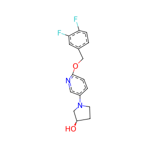 O[C@@H]1CCN(c2ccc(OCc3ccc(F)c(F)c3)nc2)C1